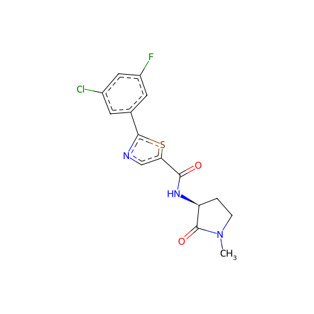 CN1CC[C@H](NC(=O)c2cnc(-c3cc(F)cc(Cl)c3)s2)C1=O